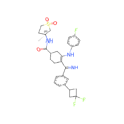 C[C@]1(NC(=O)C2CCC(C(=N)c3cccc(C4CC(F)(F)C4)c3)=C(Nc3ccc(F)cc3)C2)CCS(=O)(=O)C1